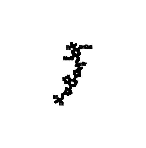 CCCCCCCCOc1cc(/C=C/C(C)(CCC)C2(C)c3cc(-c4ccc(-c5ccc(/C=C/C(C)(CC)CC)s5)c5nsnc45)sc32)c(OC)cc1C(C)(C)CC